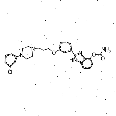 NC(=O)Oc1cccc2[nH]c(-c3cccc(OCCCN4CCN(c5cccc(Cl)c5)CC4)c3)nc12